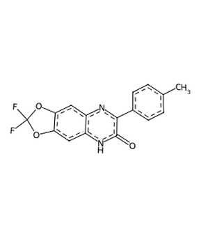 Cc1ccc(-c2nc3cc4c(cc3[nH]c2=O)OC(F)(F)O4)cc1